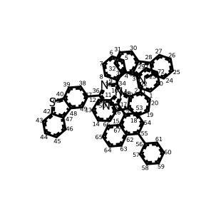 c1ccc(-c2ccccc2-n2c3ccccc3c3cccc(-n4c5ccccc5c5cccc(-c6nc(-c7ccc8sc9ccccc9c8c7)nc(-c7ccc(-c8ccccc8)c8ccccc78)n6)c54)c32)cc1